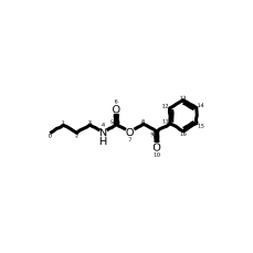 CCCCNC(=O)OCC(=O)c1ccccc1